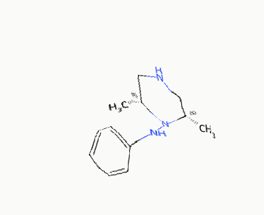 C[C@@H]1CNC[C@H](C)N1Nc1ccccc1